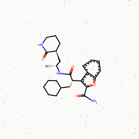 N#C[C@H](C[C@@H]1CCCNC1=O)NC(=O)[C@@H](CC1CCCCC1)c1c(C(N)=O)oc2ccccc12